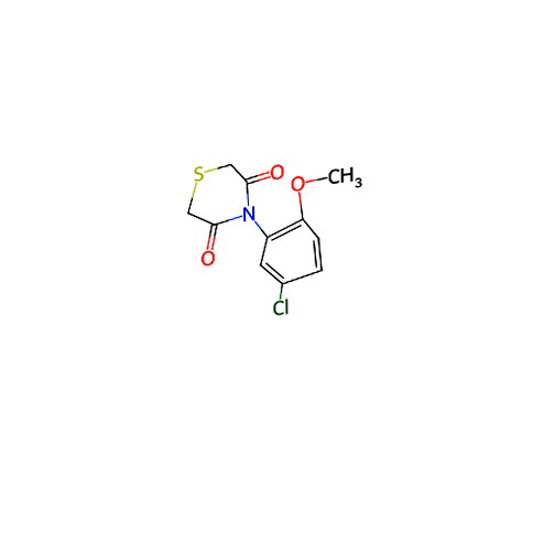 COc1ccc(Cl)cc1N1C(=O)CSCC1=O